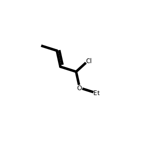 [CH2]COC(Cl)C=CC